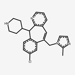 Cc1nccn1CC1=Cc2cccnc2C(C2CCNCC2)c2ccc(Cl)cc21